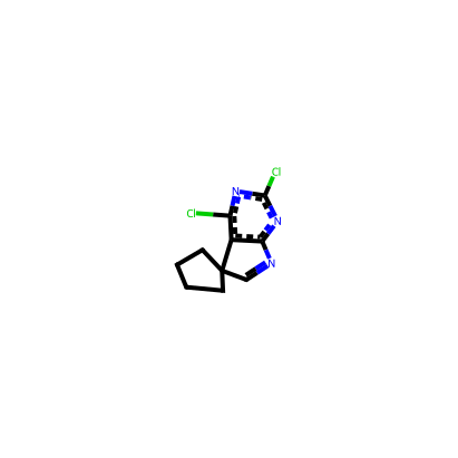 Clc1nc(Cl)c2c(n1)N=CC21CCCC1